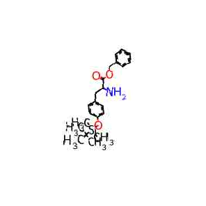 CC(C)(C)[Si](C)(C)Oc1ccc(CC(N)C(=O)OCc2ccccc2)cc1